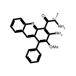 COc1c(N)c(C(=O)[C@H](C)N)c2nc3ccccc3cc2c1-c1ccccc1